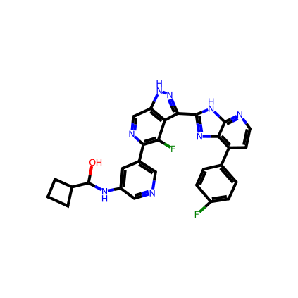 OC(Nc1cncc(-c2ncc3[nH]nc(-c4nc5c(-c6ccc(F)cc6)ccnc5[nH]4)c3c2F)c1)C1CCC1